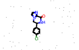 O=C1NC(c2ccc(Cl)cc2)Cn2ccnc21